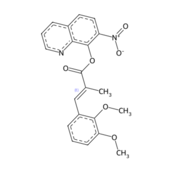 COc1cccc(/C=C(\C)C(=O)Oc2c([N+](=O)[O-])ccc3cccnc23)c1OC